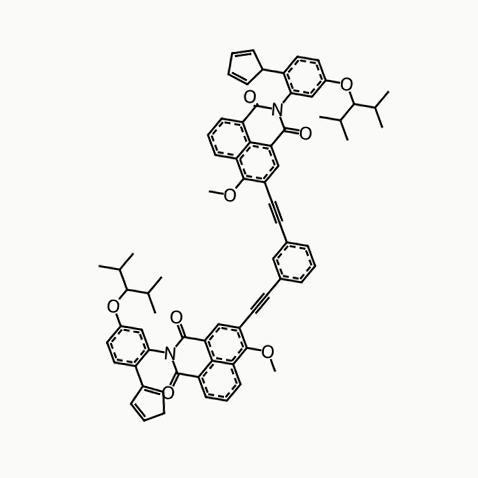 COc1c(C#Cc2cccc(C#Cc3cc4c5c(cccc5c3OC)C(=O)N(c3cc(OC(C(C)C)C(C)C)ccc3C3C=CC=C3)C4=O)c2)cc2c3c(cccc13)C(=O)N(c1cc(OC(C(C)C)C(C)C)ccc1C1=CCC=C1)C2=O